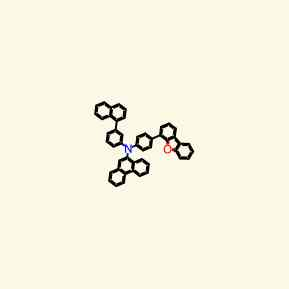 c1cc(-c2cccc3ccccc23)cc(N(c2ccc(-c3cccc4c3oc3ccccc34)cc2)c2cc3ccccc3c3ccccc23)c1